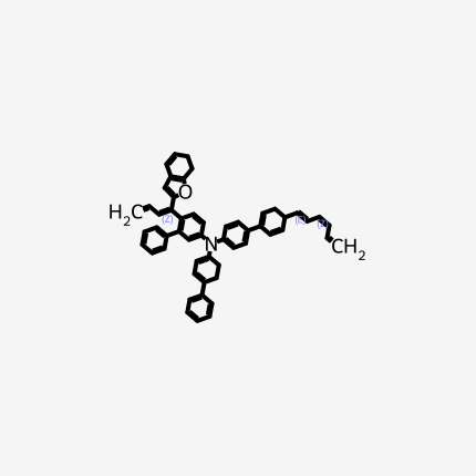 C=C/C=C\C=C\C1C=CC(c2ccc(N(C3=CC=C(c4ccccc4)CC3)c3ccc(/C(=C/C=C)c4cc5c(o4)CCC=C5)c(-c4ccccc4)c3)cc2)=CC1